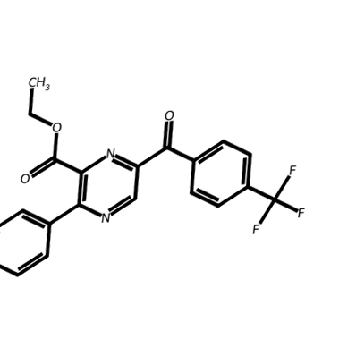 CCOC(=O)c1nc(C(=O)c2ccc(C(F)(F)F)cc2)cnc1-c1ccccc1